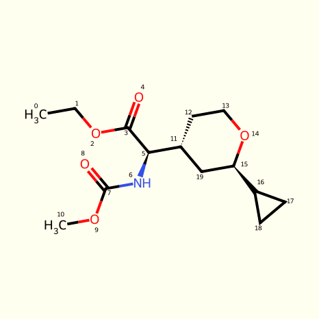 CCOC(=O)[C@H](NC(=O)OC)[C@@H]1CCO[C@@H](C2CC2)C1